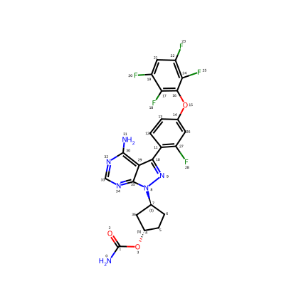 NC(=O)O[C@H]1CC[C@H](n2nc(-c3ccc(Oc4c(F)c(F)cc(F)c4F)cc3F)c3c(N)ncnc32)C1